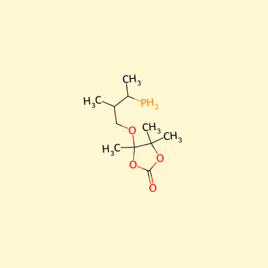 CC(P)C(C)COC1(C)OC(=O)OC1(C)C